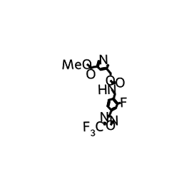 COC(=O)c1cncc(COC(=O)NCc2ccc(-c3noc(C(F)(F)F)n3)cc2F)c1